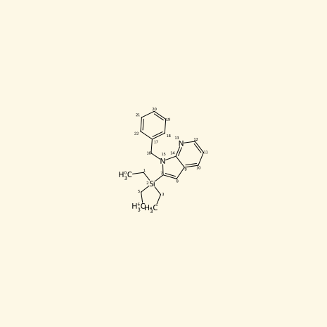 CC[Si](CC)(CC)c1cc2cccnc2n1Cc1ccccc1